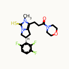 CN1C(CCC(=O)N2CCOCC2)=C2C[C@H](c3c(F)ccc(F)c3F)CN2C1S